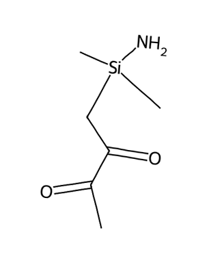 CC(=O)C(=O)C[Si](C)(C)N